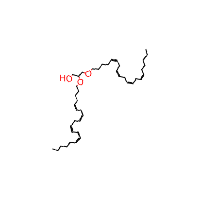 CCCCC/C=C\C/C=C\C/C=C\C/C=C\CCCCOCC(CO)OCCCC/C=C\C/C=C\C/C=C\C/C=C\CCCCC